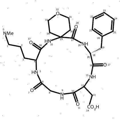 CNCCCC1NC(=O)CNC(=O)C(CC(=O)O)NC(=O)[C@@H](Cc2ccccc2)NC(=O)C2(CCOCC2)NC1=O